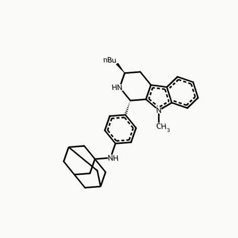 CCCC[C@H]1Cc2c(n(C)c3ccccc23)[C@H](c2ccc(NC34CC5CC(CC(C5)C3)C4)cc2)N1